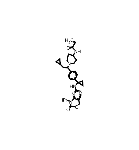 C=CC(=O)NC1CCN(C(CC2CC2)c2ccc(C3(Nc4ncc5c(n4)N(C(C)C)C(=O)OC5)CC3)cc2)CC1